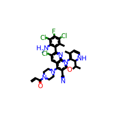 C=CC(=O)N1CCN(c2c(C#N)c(=O)n(C3=C(C)C=CNC3C(C)C)c3nc(-c4c(C)c(Cl)c(F)c(Cl)c4N)c(Cl)cc23)CC1